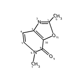 Cc1nc2ccn(C)c(=O)c2o1